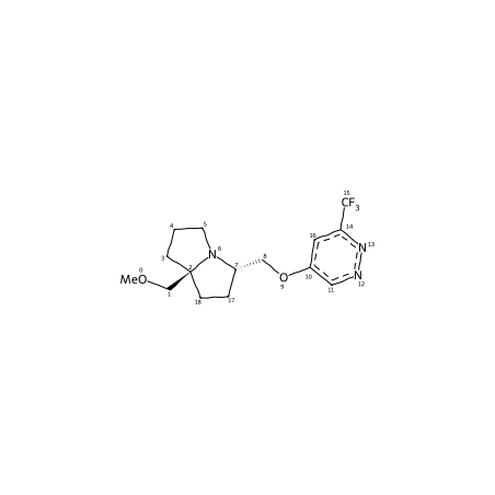 COC[C@@]12CCCN1[C@H](COc1cnnc(C(F)(F)F)c1)CC2